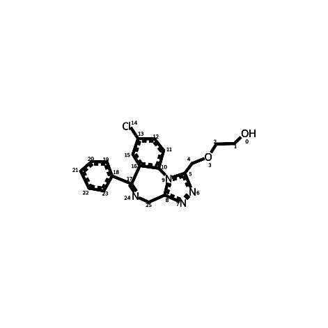 OCCOCc1nnc2n1-c1ccc(Cl)cc1C(c1ccccc1)=NC2